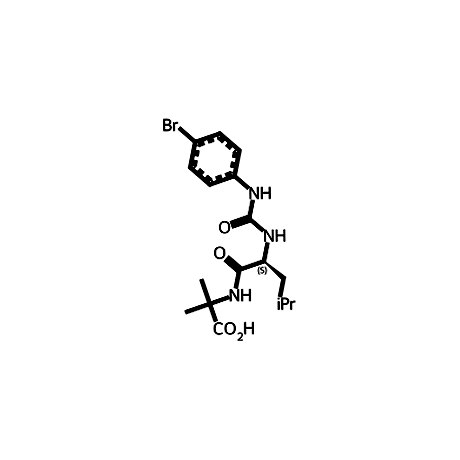 CC(C)C[C@H](NC(=O)Nc1ccc(Br)cc1)C(=O)NC(C)(C)C(=O)O